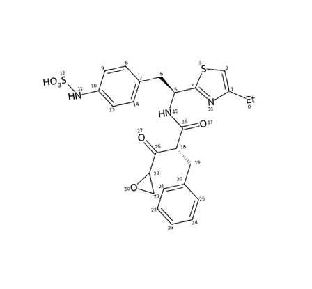 CCc1csc([C@H](Cc2ccc(NS(=O)(=O)O)cc2)NC(=O)[C@H](Cc2ccccc2)C(=O)C2CO2)n1